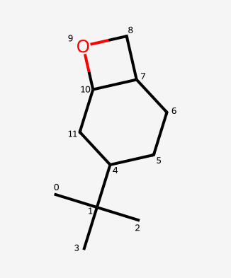 CC(C)(C)C1CCC2COC2C1